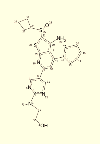 CN(CCO)c1ncc(-c2cc(-c3ccccc3)c3c(N)c([S@@+]([O-])C4CCC4)sc3n2)cn1